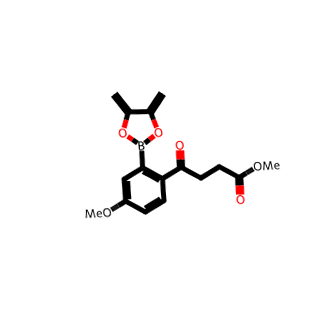 C=C1OB(c2cc(OC)ccc2C(=O)CCC(=O)OC)OC1=C